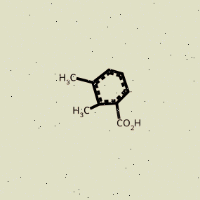 Cc1cc[c]c(C(=O)O)c1C